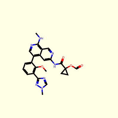 CNc1ncc(-c2cccc(-c3ncn(C)n3)c2OC)c2cc(NC(=O)C3(OC=O)CC3)ncc12